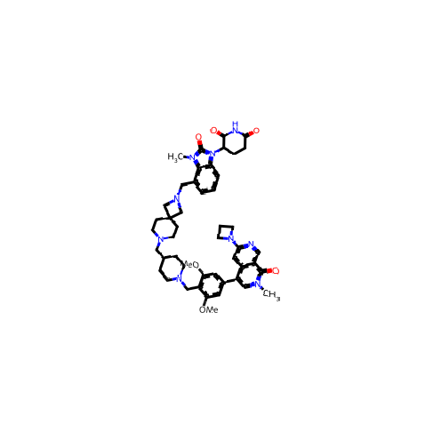 COc1cc(-c2cn(C)c(=O)c3cnc(N4CCC4)cc23)cc(OC)c1CN1CCC(CN2CCC3(CC2)CN(Cc2cccc4c2n(C)c(=O)n4C2CCC(=O)NC2=O)C3)CC1